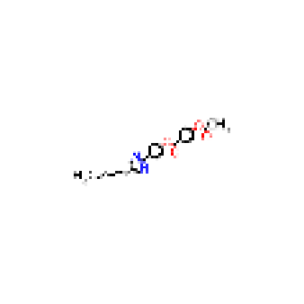 CCCCCCc1cnc(-c2ccc(OC(=O)c3ccc(OC(C)=O)cc3)cc2)nc1